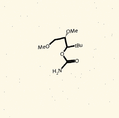 COC[C@H](OC)C(OC(N)=O)C(C)(C)C